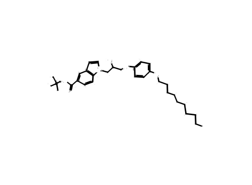 CCCCCCCCCCOc1ccc(OCC(O)Cn2ccc3cc(C(=O)OC(C)(C)C)ccc32)cc1